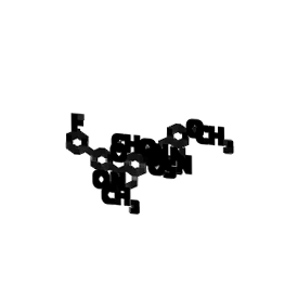 COc1ccc(CN(c2nncs2)S(=O)(=O)c2ccc3c(c2)CCN(C(C)=O)C3c2ccc(-c3cccc(F)c3)cc2OC)cc1